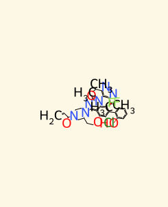 C=CC(=O)N1CCN2c3nc(=O)n(-c4c(C(C)C)ncnc4C(C)C)c4c(F)c(-c5c(O)cccc5F)c(Cl)c(c34)OCCC2C1